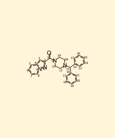 O=C(c1cc2ccccn2n1)N1CCN(C(c2ccccc2)c2ccccc2)CC1